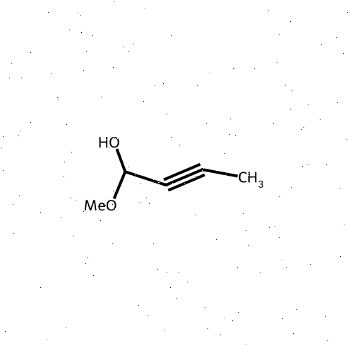 CC#CC(O)OC